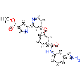 COC(=O)c1c[nH]c(-c2cc(Oc3cccc(C(=O)Nc4cccc(CN)c4)c3)ccn2)c1